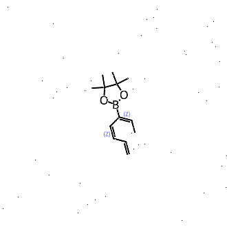 C=C/C=C\C(=C/C)B1OC(C)(C)C(C)(C)O1